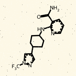 NC(=O)c1cccnc1NC1CCC(c2cnn(C(F)(F)F)c2)CC1